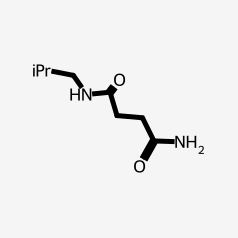 CC(C)CNC(=O)CCC(N)=O